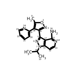 Cc1onc(-c2nn(C(C)C)c3ccnc(N)c23)c1-c1ccccn1